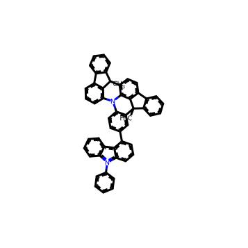 CC12c3ccccc3-c3cccc(c31)N1c3ccc(-c4cccc5c4c4ccccc4n5-c4ccccc4)cc3C3(C)c4ccccc4-c4ccc2c1c43